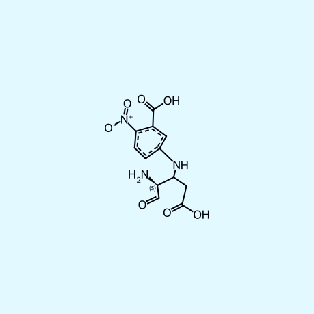 N[C@H](C=O)C(CC(=O)O)Nc1ccc([N+](=O)[O-])c(C(=O)O)c1